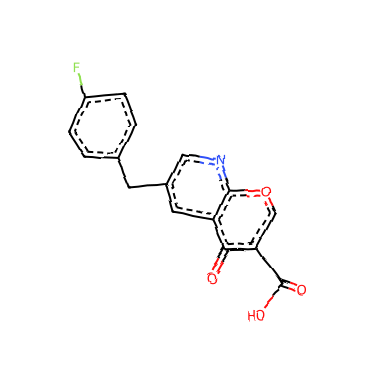 O=C(O)c1coc2ncc(Cc3ccc(F)cc3)cc2c1=O